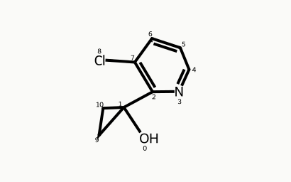 OC1(c2ncc[c]c2Cl)CC1